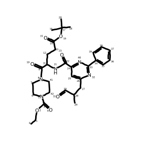 CCOC(=O)N1CCN(C(=O)C(CCC(=O)OC(C)(C)C)NC(=O)c2cc(CC(C)C=O)nc(-c3ccccc3)n2)CC1